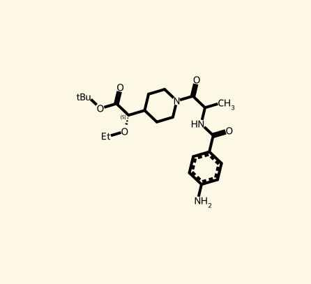 CCO[C@H](C(=O)OC(C)(C)C)C1CCN(C(=O)C(C)NC(=O)c2ccc(N)cc2)CC1